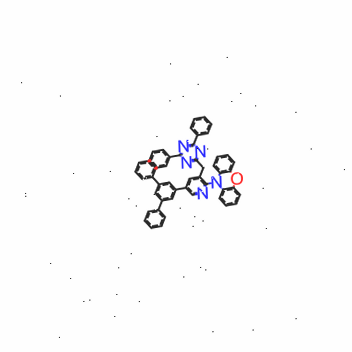 c1ccc(-c2cc(-c3ccccc3)cc(-c3cnc(N4c5ccccc5Oc5ccccc54)c(Cc4nc(-c5ccccc5)nc(-c5ccccc5)n4)c3)c2)cc1